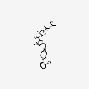 C=C(F)/C=C(\C)N1CCN(C(=O)c2cc(CN3CCN(c4ccccc4Cl)CC3)cn2C)[C@@H](C)C1